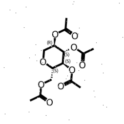 CC(=O)OC[C@@H]1OC[C@@H](OC(C)=O)[C@H](OC(C)=O)[C@H]1OC(C)=O